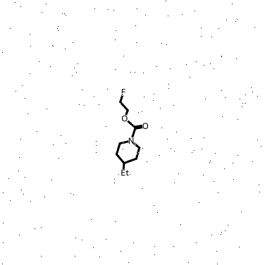 CCC1CCN(C(=O)OCCF)CC1